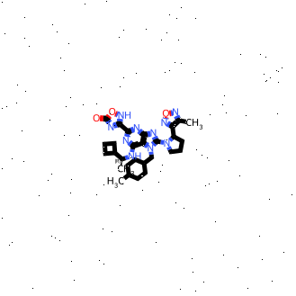 Cc1nonc1C1CCCN1c1nc2nc(-c3nc(=O)o[nH]3)nc(N[C@H](C)C3CCC3)c2n1CC1CCC(C)CC1